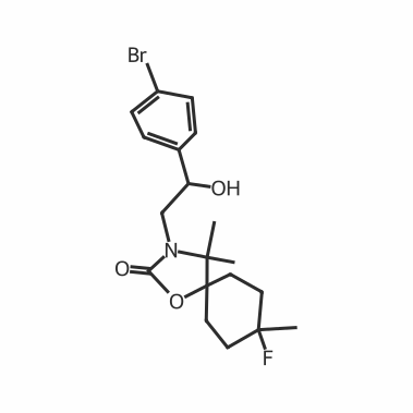 CC1(F)CCC2(CC1)OC(=O)N(CC(O)c1ccc(Br)cc1)C2(C)C